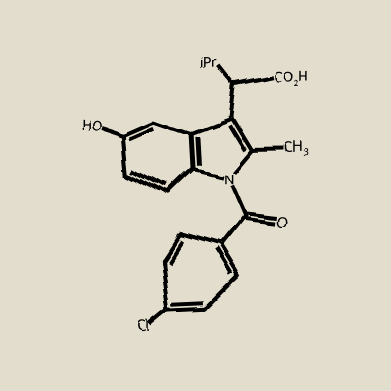 Cc1c(C(C(=O)O)C(C)C)c2cc(O)ccc2n1C(=O)c1ccc(Cl)cc1